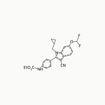 CCOC(=O)Nc1ccc(-c2c(C#N)c3ccc(OC(F)F)cc3n2CC2CC2)cc1